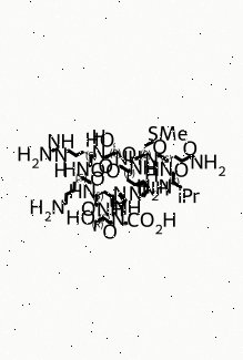 CSCC[C@H](NC(=O)[C@H](CCC(N)=O)NC(=O)[C@@H](N)CC(C)C)C(=O)N[C@@H](Cc1c[nH]cn1)C(=O)N[C@@H](CO)C(=O)N[C@@H](CCCNC(=N)N)C(=O)N[C@@H](CCCCN)C(=O)N[C@@H](Cc1c[nH]cn1)C(=O)N[C@H](C(=O)NCC(=O)O)[C@@H](C)O